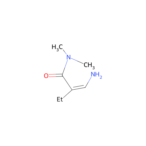 CCC(=CN)C(=O)N(C)C